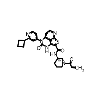 C=CC(=O)N1CCC[C@@H](NC(=O)c2sc3nccc4c3c2NC(=O)N4c2ccnc(C3CCC3)c2)C1